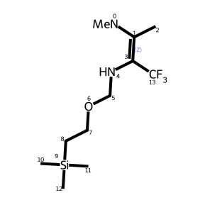 CN/C(C)=C(\NCOCC[Si](C)(C)C)C(F)(F)F